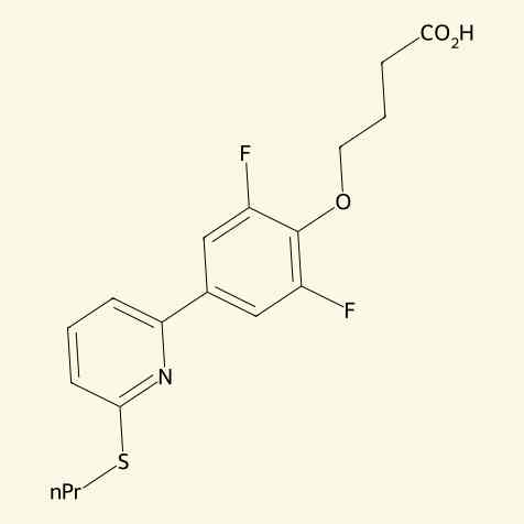 CCCSc1cccc(-c2cc(F)c(OCCCC(=O)O)c(F)c2)n1